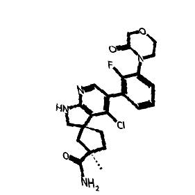 C[C@@]1(C(N)=O)CC[C@]2(CNc3ncc(-c4cccc(N5CCOCC5=O)c4F)c(Cl)c32)C1